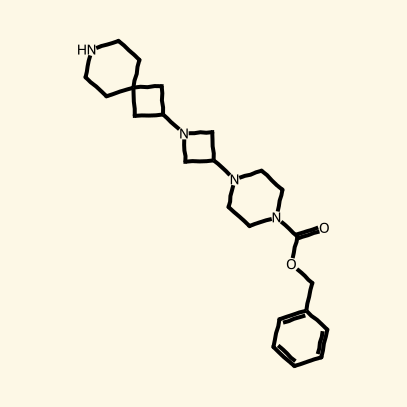 O=C(OCc1ccccc1)N1CCN(C2CN(C3CC4(CCNCC4)C3)C2)CC1